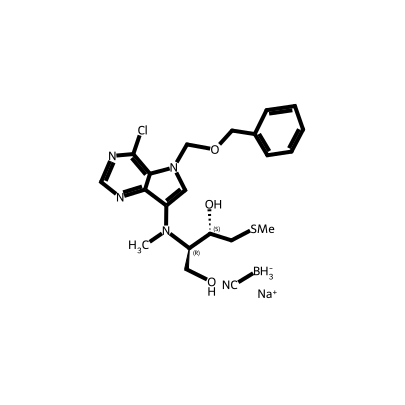 CSC[C@@H](O)[C@@H](CO)N(C)c1cn(COCc2ccccc2)c2c(Cl)ncnc12.[BH3-]C#N.[Na+]